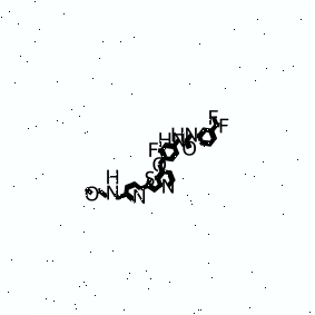 COCCNCc1ccc(-c2cc3nccc(Oc4ccc(NC(=O)Nc5cccc(C(F)F)c5)cc4F)c3s2)nc1